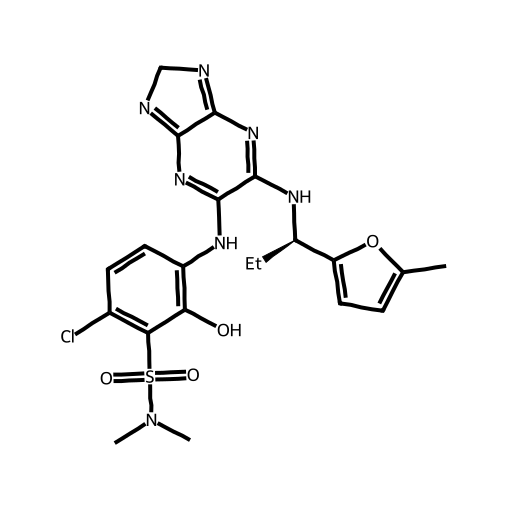 CC[C@@H](Nc1nc2c(nc1Nc1ccc(Cl)c(S(=O)(=O)N(C)C)c1O)=NCN=2)c1ccc(C)o1